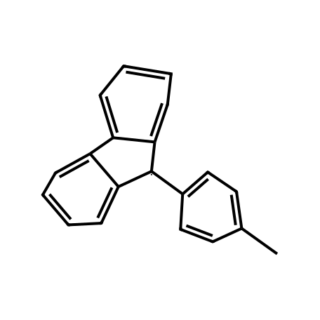 Cc1ccc([C]2c3ccccc3-c3ccccc32)cc1